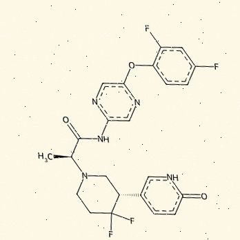 C[C@@H](C(=O)Nc1cnc(Oc2ccc(F)cc2F)cn1)N1CCC(F)(F)[C@@H](c2ccc(=O)[nH]c2)C1